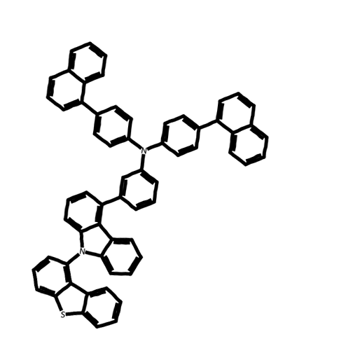 c1cc(-c2cccc3c2c2ccccc2n3-c2cccc3sc4ccccc4c23)cc(N(c2ccc(-c3cccc4ccccc34)cc2)c2ccc(-c3cccc4ccccc34)cc2)c1